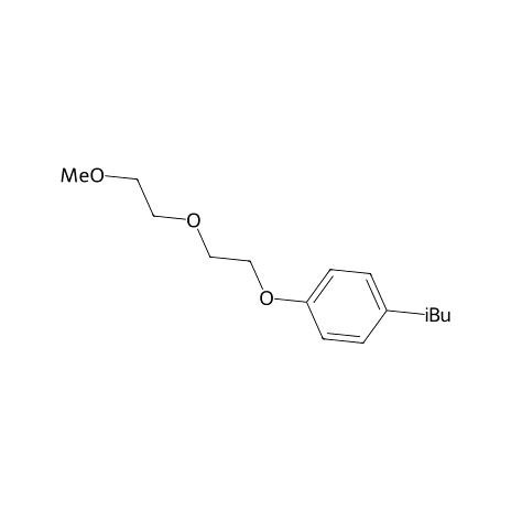 CCC(C)c1ccc(OCCOCCOC)cc1